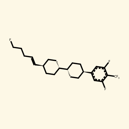 FCCCC=C[C@H]1CC[C@H]([C@H]2CC[C@H](c3cc(F)c(C(F)(F)F)c(F)c3)CC2)CC1